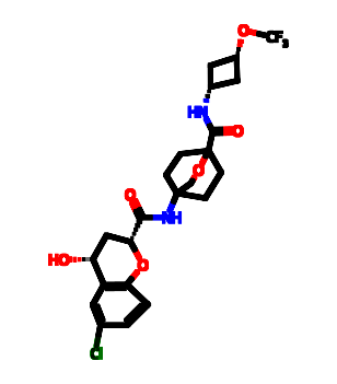 O=C(NC12CCC(C(=O)N[C@H]3C[C@@H](OC(F)(F)F)C3)(CC1)OC2)[C@H]1C[C@@H](O)c2cc(Cl)ccc2O1